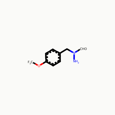 NN(C=O)Cc1ccc(OC(F)(F)F)cc1